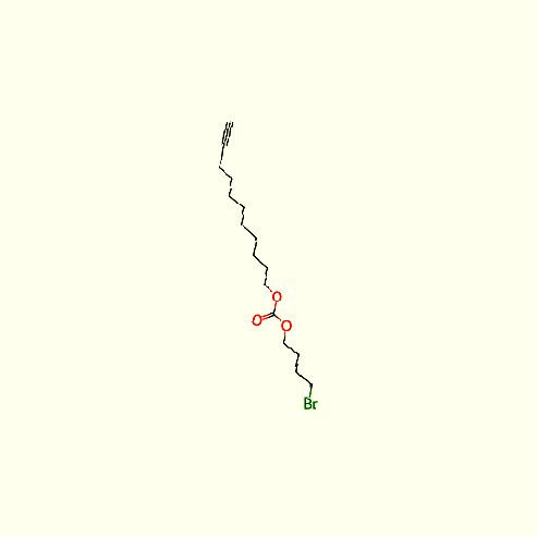 C#CCCCCCCCCCOC(=O)OCCCCBr